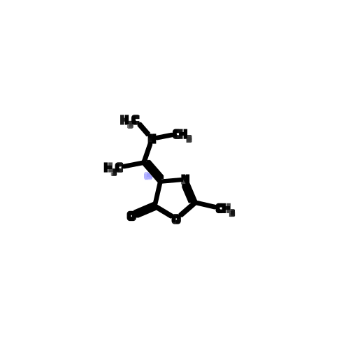 CC1=N/C(=C(/C)N(C)C)C(=O)O1